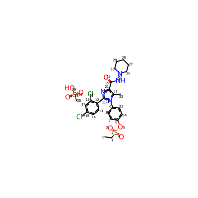 CCS(=O)(=O)Oc1ccc(-n2c(-c3ccc(Cl)cc3Cl)nc(C(=O)NN3CCCCC3)c2C)cc1.CS(=O)(=O)O